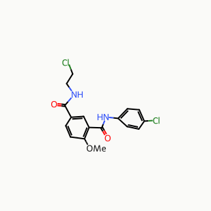 COc1ccc(C(=O)NCCCl)cc1C(=O)Nc1ccc(Cl)cc1